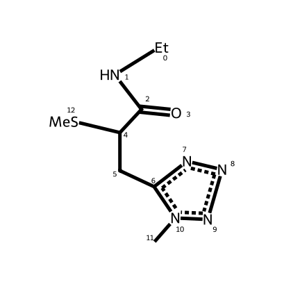 CCNC(=O)C(Cc1nnnn1C)SC